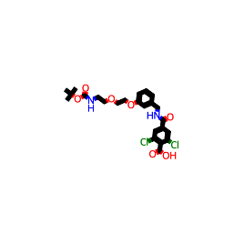 CC(C)(C)OC(=O)NCCOCCOc1cccc(CNC(=O)c2cc(Cl)c(C(=O)O)c(Cl)c2)c1